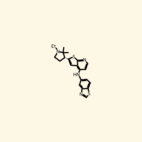 CCN1CC[C@@H](c2cc3c(Nc4ccc5scnc5c4)ccnc3s2)C1(C)C